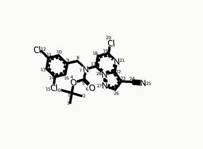 CC(C)(C)OC(=O)N(Cc1cc(Cl)cc(Cl)c1)c1cc(Cl)nc2c(C#N)cnn12